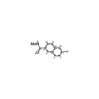 [CH2]c1ccc2cc(C(=O)NC)ccc2c1